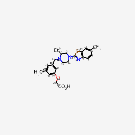 CC[C@H]1CN(c2nc3ccc(C(F)(F)F)cc3s2)CCN1Cc1cc(C)cc(OCC(=O)O)c1